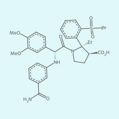 CC[C@]1(c2ccccc2S(=O)(=O)C(C)C)[C@@H](C(=O)O)CCN1C(=O)[C@H](Nc1cccc(C(N)=O)c1)c1ccc(OC)c(OC)c1